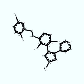 CCn1cc(-c2ccncc2)c(-c2c(F)ccc(OCc3cc(F)ccc3F)c2F)n1